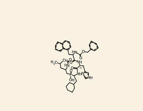 CC(C)CC(CP(=O)(O)C(CC1CCCCC1)NC(=O)[C@H](Cc1c[nH]cn1)NC(=O)C(Cc1cccc2ccccc12)NC(=O)OCc1ccccc1)NC=O